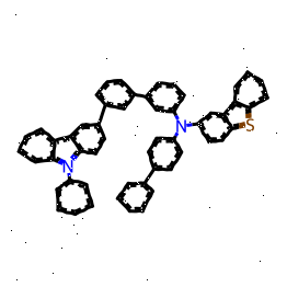 c1ccc(-c2ccc(N(c3cccc(-c4cccc(-c5ccc6c(c5)c5ccccc5n6-c5ccccc5)c4)c3)c3ccc4sc5ccccc5c4c3)cc2)cc1